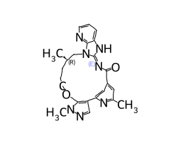 Cc1cc2cc(n1)-c1cnn(C)c1OCCC[C@@H](C)CN1/C(=N/C2=O)Nc2cccnc21